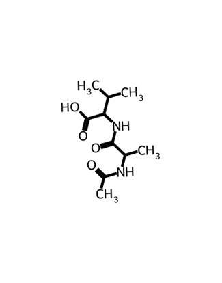 CC(=O)NC(C)C(=O)NC(C(=O)O)C(C)C